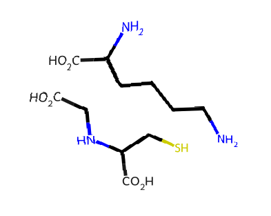 NCCCCC(N)C(=O)O.O=C(O)CNC(CS)C(=O)O